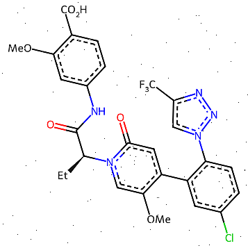 CC[C@@H](C(=O)Nc1ccc(C(=O)O)c(OC)c1)n1cc(OC)c(-c2cc(Cl)ccc2-n2cc(C(F)(F)F)nn2)cc1=O